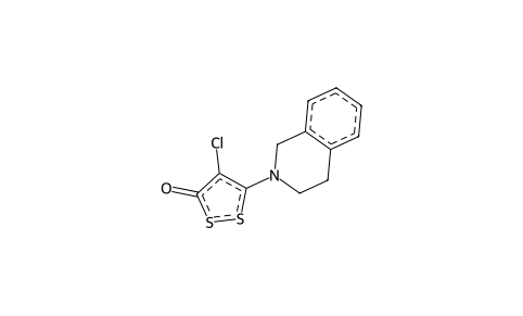 O=c1ssc(N2CCc3ccccc3C2)c1Cl